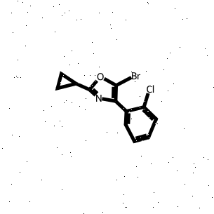 Clc1ccccc1-c1nc(C2CC2)oc1Br